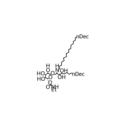 CCCCCCCCCCCCCCCCCCCCCCCCCCNC(CO[C@H]1O[C@H](COC(=O)NCC)[C@H](O)[C@H](O)[C@H]1O)C(O)C(O)CCCCCCCCCCCCCC